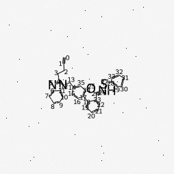 C#CCCc1nc2ccccc2n1Cc1ccc(-c2ccccc2C(=O)NSc2ccccc2)cc1